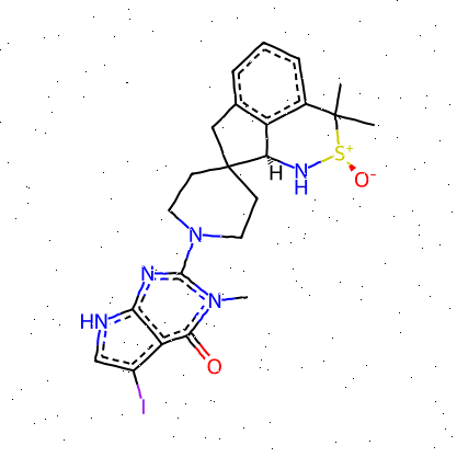 Cn1c(N2CCC3(CC2)Cc2cccc4c2[C@H]3N[S@+]([O-])C4(C)C)nc2[nH]cc(I)c2c1=O